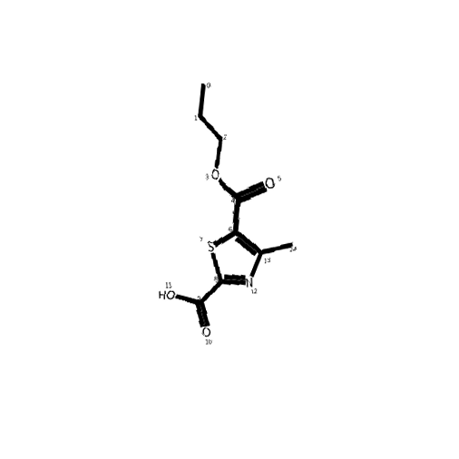 CCCOC(=O)c1sc(C(=O)O)nc1C